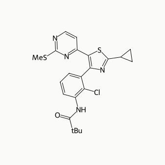 CSc1nccc(-c2sc(C3CC3)nc2-c2cccc(NC(=O)C(C)(C)C)c2Cl)n1